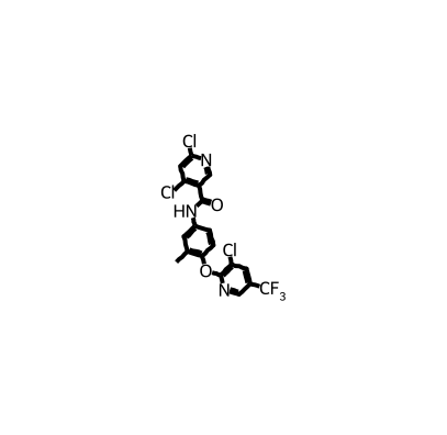 Cc1cc(NC(=O)c2cnc(Cl)cc2Cl)ccc1Oc1ncc(C(F)(F)F)cc1Cl